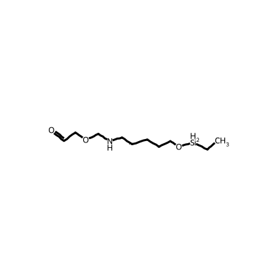 CC[SiH2]OCCC[CH]CNCOCC=O